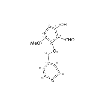 COc1ccc(O)c(C=O)c1OCc1ccccc1